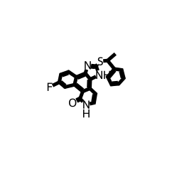 CC(Sc1nc2c3ccc(F)cc3c3c(=O)[nH]ccc3c2[nH]1)c1ccccc1